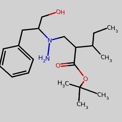 CCC(C)C(CN(N)C(CO)Cc1ccccc1)C(=O)OC(C)(C)C